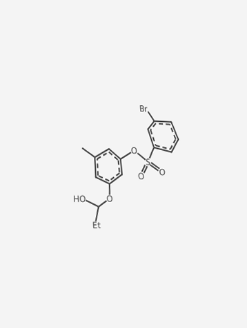 CCC(O)Oc1cc(C)cc(OS(=O)(=O)c2cccc(Br)c2)c1